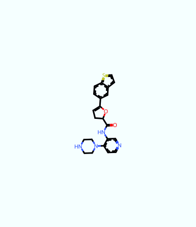 O=C(Nc1cnccc1N1CCNCC1)C1CC=C(c2ccc3sccc3c2)O1